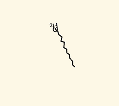 [2H]OCCCCCCCCCCCCC